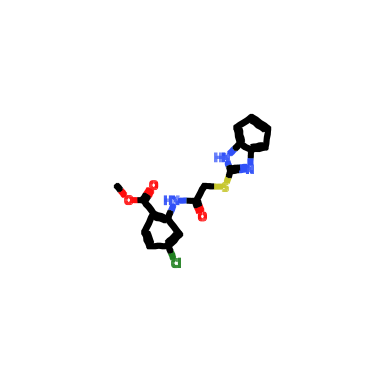 COC(=O)c1ccc(Cl)cc1NC(=O)CSc1nc2ccccc2[nH]1